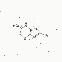 CC(C)c1nc2c(s1)NC(O)CC2